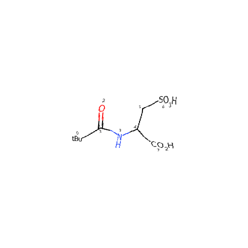 CC(C)(C)C(=O)NC(CS(=O)(=O)O)C(=O)O